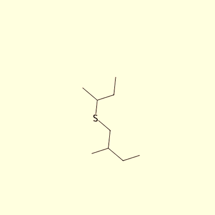 CCC(C)CSC(C)CC